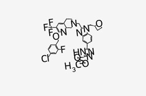 CS(=O)(=O)c1nnc(-c2ccc3c(c2)nc(CN2CCc4cc(C(F)(F)F)c(OCc5ccc(Cl)cc5F)nc4C2)n3C[C@@H]2CCO2)[nH]1